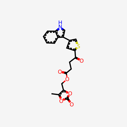 Cc1oc(=O)oc1COC(=O)CCC(=O)c1cc(-c2c[nH]c3ccccc23)cs1